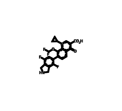 O=C(O)c1cn(C2CC2)c2c(OC(F)F)c(-c3cc(F)c4c(c3F)CNC4)ccc2c1=O